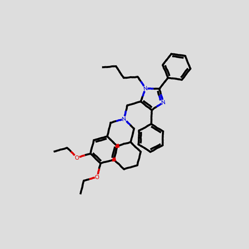 CCCCn1c(-c2ccccc2)nc(-c2ccccc2)c1CN(Cc1ccc(OCC)c(OCC)c1)CC1CCCCC1